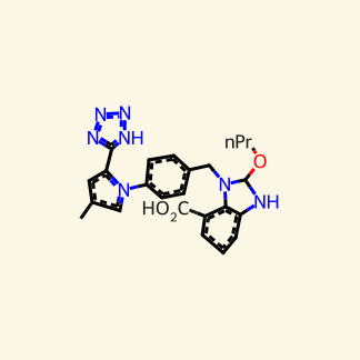 CCCOC1Nc2cccc(C(=O)O)c2N1Cc1ccc(-n2cc(C)cc2-c2nnn[nH]2)cc1